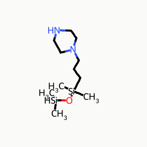 C[SiH](C)O[Si](C)(C)CCCN1CCNCC1